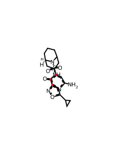 Nc1cc(S(=O)(=O)N2C3CCC[C@@H]2C[C@H](NC(=O)c2cc(C4CC4)on2)C3)ccn1